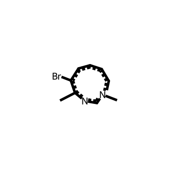 Cc1ncn(C)ccccc1Br